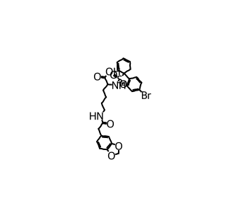 O=C(Cc1ccc2c(c1)OCO2)NCCCCC(NS(=O)(=O)C1(c2ccc(Br)cc2)C=CC=CC1)C(=O)O